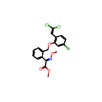 CO/N=C(/C(=O)OC)c1ccccc1COc1cc(Br)ccc1C=C(Cl)Cl